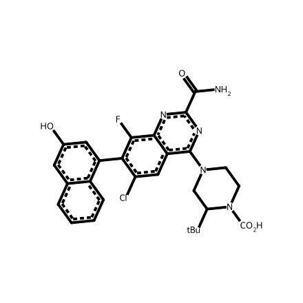 CC(C)(C)C1CN(c2nc(C(N)=O)nc3c(F)c(-c4cc(O)cc5ccccc45)c(Cl)cc23)CCN1C(=O)O